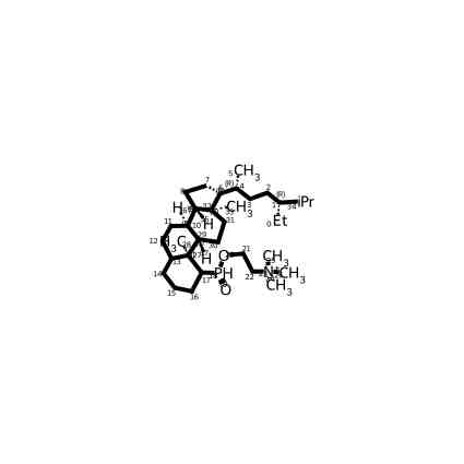 CC[C@H](CC[C@@H](C)[C@H]1CC[C@H]2[C@@H]3CCC4CCCC([PH](=O)OCC[N+](C)(C)C)[C@]4(C)[C@H]3CC[C@]12C)C(C)C